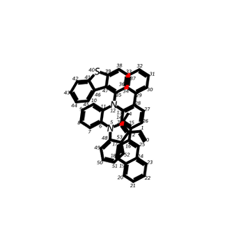 C=Cc1c(C)n(-c2ccccc2N(c2cc(-c3ccc4ccccc4c3)ccc2-c2ccccc2)c2cccc3sc4ccccc4c23)c2ccccc12